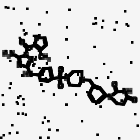 Cc1ccsc1C(=O)n1nc(Nc2ccc(S(=O)(=O)N3CCN(Cc4cccc(N5CCC(=O)NC5=O)c4)CC3)cc2)nc1N